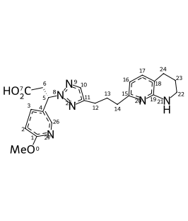 COc1ccc([C@H](CC(=O)O)n2ncc(CCCc3ccc4c(n3)NCCC4)n2)cn1